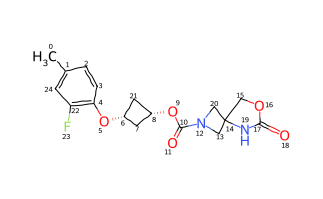 Cc1ccc(O[C@H]2C[C@@H](OC(=O)N3CC4(COC(=O)N4)C3)C2)c(F)c1